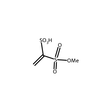 C=C(S(=O)(=O)O)S(=O)(=O)OC